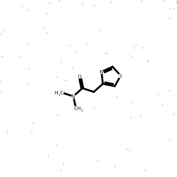 CN(C)C(=O)Cc1cs[c]n1